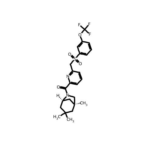 CC1(C)C[C@@H]2C[C@@](C)(CN2C(=O)c2cccc(CS(=O)(=O)c3cccc(OC(F)(F)F)c3)n2)C1